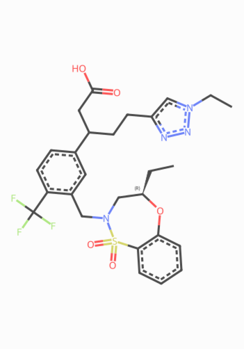 CC[C@@H]1CN(Cc2cc(C(CCc3cn(CC)nn3)CC(=O)O)ccc2C(F)(F)F)S(=O)(=O)c2ccccc2O1